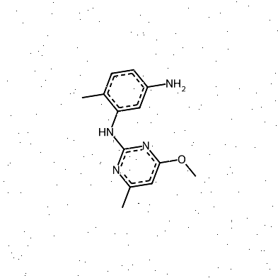 COc1cc(C)nc(Nc2cc(N)ccc2C)n1